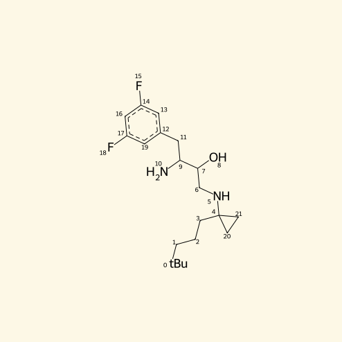 CC(C)(C)CCCC1(NCC(O)C(N)Cc2cc(F)cc(F)c2)CC1